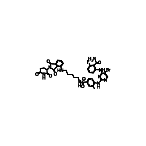 Cc1cc(S(=O)(=O)NCCCCCNc2cccc3c2C(=O)N(C2CCC(=O)NC2=O)C3=O)ccc1Nc1ncc(Br)c(Nc2cccc(F)c2C(N)=O)n1